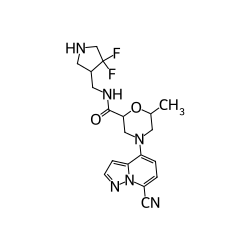 CC1CN(c2ccc(C#N)n3nccc23)CC(C(=O)NCC2CNCC2(F)F)O1